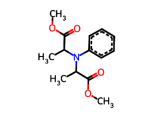 COC(=O)C(C)N(c1ccccc1)C(C)C(=O)OC